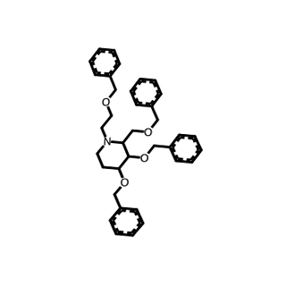 c1ccc(COCCN2CCC(OCc3ccccc3)C(OCc3ccccc3)C2COCc2ccccc2)cc1